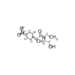 CCN(CCO)C(=O)C(C)c1ccc([N+](=O)[O-])cc1